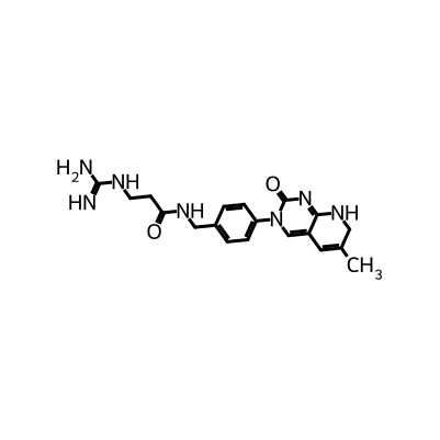 CC1=Cc2cn(-c3ccc(CNC(=O)CCNC(=N)N)cc3)c(=O)nc2NC1